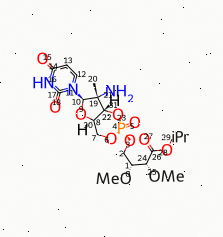 CO[C@H](CO[P@@]1(=O)OC[C@H]2O[C@@H](n3ccc(=O)[nH]c3=O)[C@](C)(N)[C@@H]2O1)[C@@H](OC)C(=O)OC(C)C